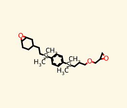 C[Si](C)(CCCOCC1CO1)c1ccc([Si](C)(C)CCC2CCC3OC3C2)cc1